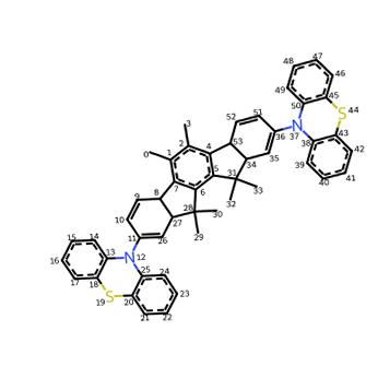 Cc1c(C)c2c(c3c1C1C=CC(N4c5ccccc5Sc5ccccc54)=CC1C3(C)C)C(C)(C)C1C=C(N3c4ccccc4Sc4ccccc43)C=CC21